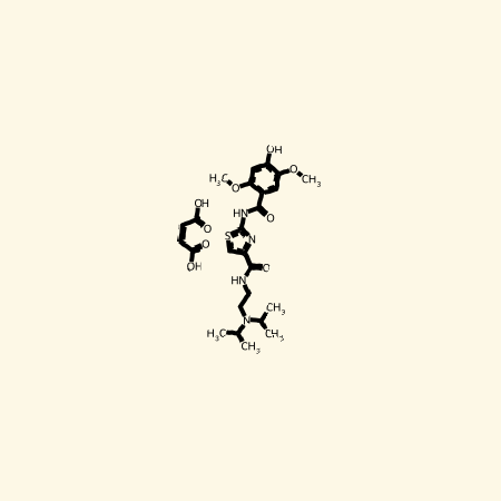 COc1cc(C(=O)Nc2nc(C(=O)NCCN(C(C)C)C(C)C)cs2)c(OC)cc1O.O=C(O)/C=C\C(=O)O